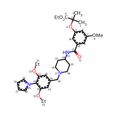 CCOC(=O)C(C)(C)Oc1cc(OC)cc(C(=O)NC2CCN(Cc3cc(OCC)c(-n4cccc4)c(OCC)c3)CC2)c1